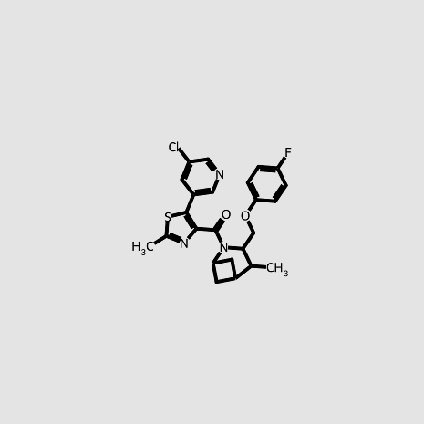 Cc1nc(C(=O)N2C3CC(C3)C(C)C2COc2ccc(F)cc2)c(-c2cncc(Cl)c2)s1